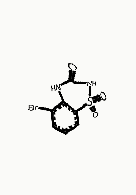 O=C1Nc2c(Br)cccc2S(=O)(=O)N1